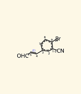 N#Cc1cc(/C=C/C=O)ccc1Br